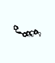 COc1ccc(Cc2cc3cc(C#CCc4ccccc4)ccc3[nH]c2=O)cc1